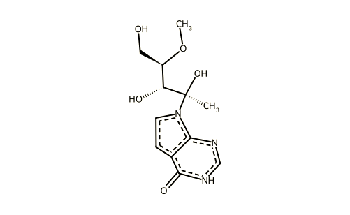 CO[C@H](CO)[C@@H](O)[C@@](C)(O)n1ccc2c(=O)[nH]cnc21